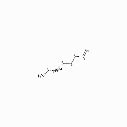 C=CCCCNCCCC